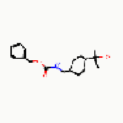 CC(C)(O)C1CCC(CNC(=O)OCc2ccccc2)CC1